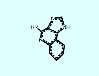 [NH]c1nc2ccccc2c2[nH]cnc12